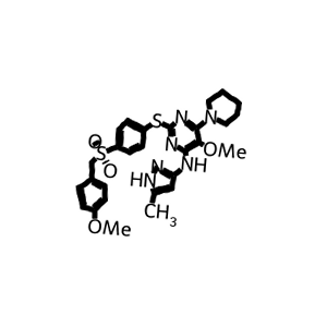 COc1ccc(CS(=O)(=O)c2ccc(Sc3nc(Nc4cc(C)[nH]n4)c(OC)c(N4CCCCC4)n3)cc2)cc1